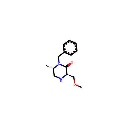 COC[C@H]1NC[C@H](C)N(Cc2ccccc2)C1=O